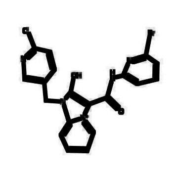 O=C(Nc1cccc(Br)n1)c1c(O)n(Cc2ccc(Cl)nc2)c2cccc[n+]12